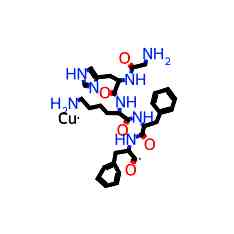 NCCCCC(NC(=O)C(Cc1c[nH]cn1)NC(=O)CN)C(=O)NC(Cc1ccccc1)C(=O)NC([C]=O)Cc1ccccc1.[Cu]